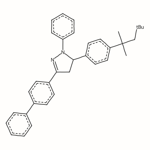 CC(C)(C)CC(C)(C)c1ccc(C2CC(c3ccc(-c4ccccc4)cc3)=NN2c2ccccc2)cc1